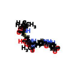 CC(=O)N1CC(c2ccc(NC(=O)Nc3ccc([N+](=O)[O-])cc3)cc2)CC1C(=O)NC(CCSCC(NC(=O)CC(C)(C)C)C(=O)O)C(=O)O